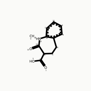 C.O=C(O)C1CCc2ccccc2NC1=O